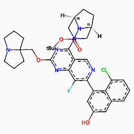 CC(C)(C)OC(=O)N1[C@@H]2CC[C@H]1CN(c1nc(OCC34CCCN3CCC4)nc3c(F)c(-c4cc(O)cc5cccc(Cl)c45)ncc13)C2